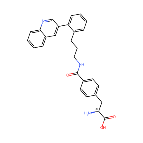 N[C@@H](Cc1ccc(C(=O)NCCCc2ccccc2-c2cnc3ccccc3c2)cc1)C(=O)O